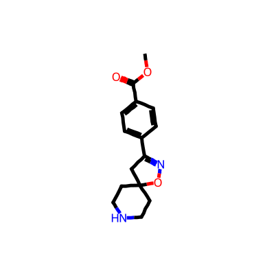 COC(=O)c1ccc(C2=NOC3(CCNCC3)C2)cc1